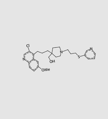 COc1ccc2ncc(Cl)c(CCCC3(CO)CCN(CCCSc4cccnc4)CC3)c2c1